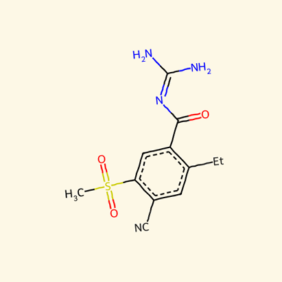 CCc1cc(C#N)c(S(C)(=O)=O)cc1C(=O)N=C(N)N